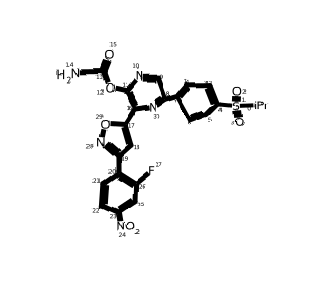 CC(C)S(=O)(=O)c1ccc(-c2cnc(OC(N)=O)c(-c3cc(-c4ccc([N+](=O)[O-])cc4F)no3)n2)cc1